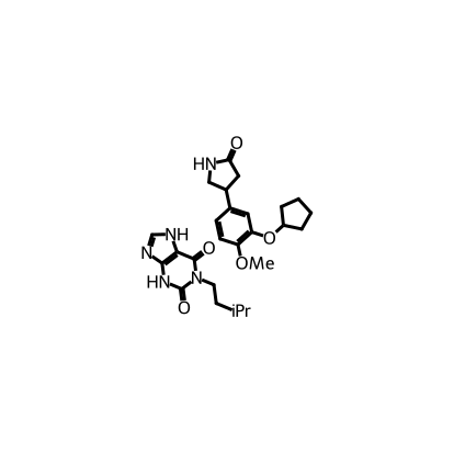 CC(C)CCn1c(=O)[nH]c2nc[nH]c2c1=O.COc1ccc(C2CNC(=O)C2)cc1OC1CCCC1